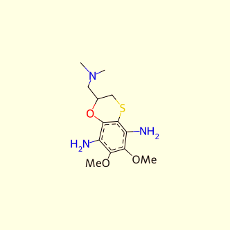 COc1c(N)c2c(c(N)c1OC)SCC(CN(C)C)O2